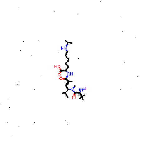 C/C(=C\[C@H](C(C)C)N(C)C(=O)[C@@H](NI)C(C)(C)C)C(=O)NC(CCCCCNC(C)C)C(=O)O